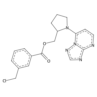 O=C(OCC1CCCN1c1ccnc2ncnn12)c1cccc(CCl)c1